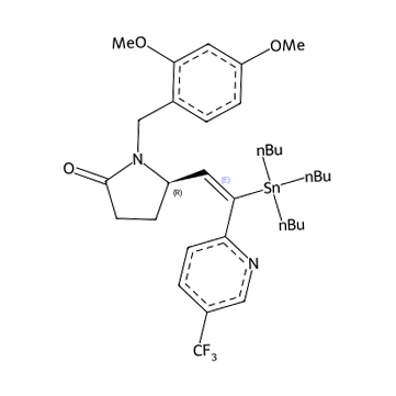 CCC[CH2][Sn]([CH2]CCC)([CH2]CCC)/[C](=C/[C@H]1CCC(=O)N1Cc1ccc(OC)cc1OC)c1ccc(C(F)(F)F)cn1